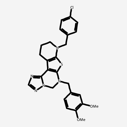 COc1ccc(CN2Cn3ncnc3-c3c2sc2c3CCCN2Cc2ccc(Cl)cc2)cc1OC